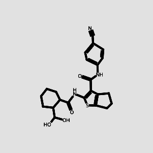 N#Cc1ccc(NC(=O)c2c(NC(=O)C3CCCCC3C(O)O)sc3c2CCC3)cc1